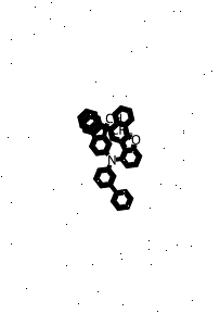 CC1(C)c2ccccc2-c2ccc(N(c3cccc(-c4ccccc4)c3)c3cccc4oc5c6ccccc6c(-c6ccccc6)cc5c34)cc21